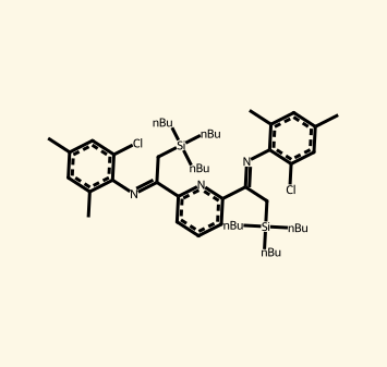 CCCC[Si](CCCC)(CCCC)CC(=Nc1c(C)cc(C)cc1Cl)c1cccc(C(C[Si](CCCC)(CCCC)CCCC)=Nc2c(C)cc(C)cc2Cl)n1